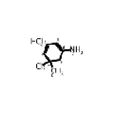 CC1(Cl)C=CC=C(N)C1.Cl